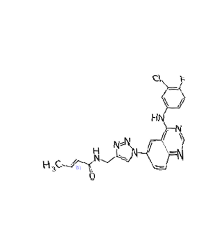 C/C=C/C(=O)NCc1cn(-c2ccc3ncnc(Nc4ccc(F)c(Cl)c4)c3c2)nn1